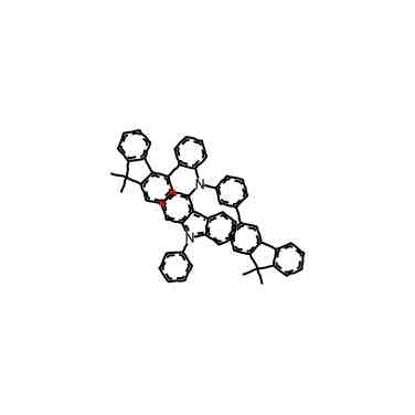 CC1(C)c2ccccc2-c2cc(-c3cccc(N(c4ccccc4-c4cccc5c4-c4ccccc4C5(C)C)c4cccc5c4c4ccccc4n5-c4ccccc4)c3)ccc21